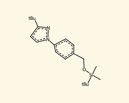 CC(C)(C)c1ccn(-c2ccc(CO[Si](C)(C)C(C)(C)C)cc2)n1